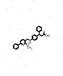 COc1nc(-c2ccccc2)ccc1CNc1ccc(C(CC(=O)O)c2ccccc2)cc1